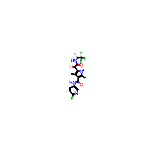 Cc1c(C(=O)Nc2ccc(F)nc2)c(C)n(C)c1C(=O)C(=O)N[C@H](C)C(F)(F)F